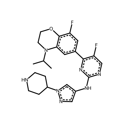 CC(C)N1CCOc2c(F)cc(-c3nc(Nc4cnn(C5CCNCC5)c4)ncc3F)cc21